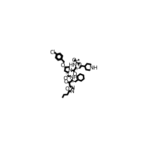 CCCc1nnc(C(=O)[C@H](CC2CCCCC2)NC(=O)[C@@H]2C[C@@H](OCc3ccc(Cl)cc3)CN2C(=O)[C@@H](CCC2CCNCC2)NS(C)(=O)=O)o1